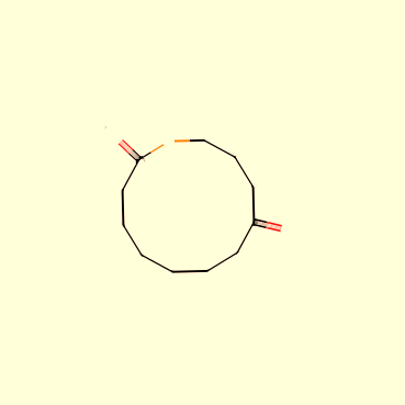 O=C1CCCCCCC(=O)PCCC1